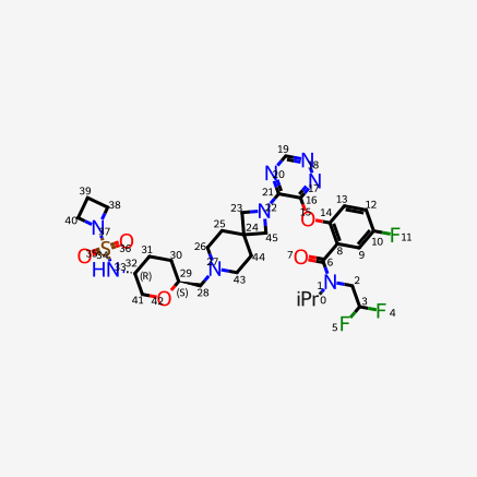 CC(C)N(CC(F)F)C(=O)c1cc(F)ccc1Oc1nncnc1N1CC2(CCN(C[C@@H]3CC[C@@H](NS(=O)(=O)N4CCC4)CO3)CC2)C1